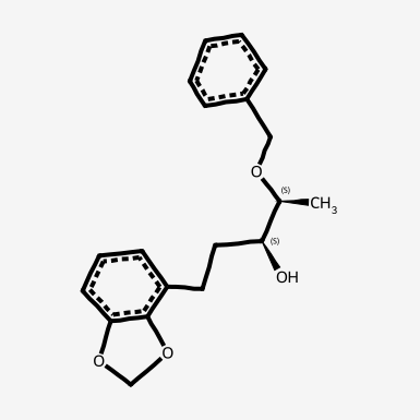 C[C@H](OCc1ccccc1)[C@@H](O)CCc1cccc2c1OCO2